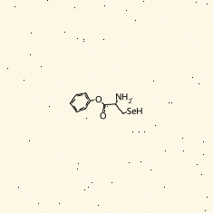 N[C@@H](C[SeH])C(=O)Oc1ccccc1